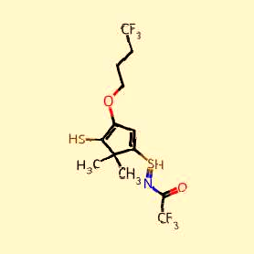 CC1(C)C([SH]=NC(=O)C(F)(F)F)=CC(OCCCC(F)(F)F)=C1S